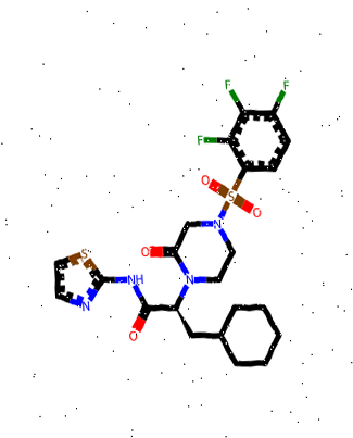 O=C(Nc1nccs1)[C@H](CC1CCCCC1)N1CCN(S(=O)(=O)c2ccc(F)c(F)c2F)CC1=O